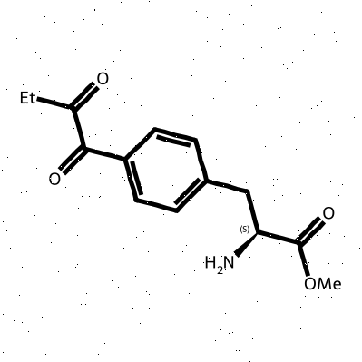 CCC(=O)C(=O)c1ccc(C[C@H](N)C(=O)OC)cc1